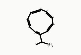 CC(N)c1ccccccccc1